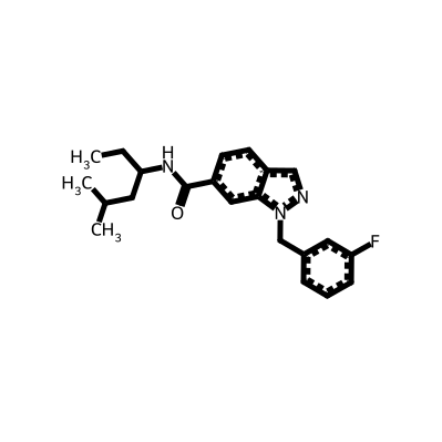 CCC(CC(C)C)NC(=O)c1ccc2cnn(Cc3cccc(F)c3)c2c1